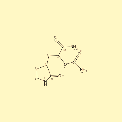 NC(=O)OC(CC1CCNC1=O)C(N)=O